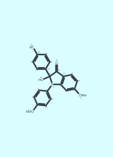 COc1ccc(N2c3cc(OC)ccc3C(=O)C2(O)c2ccc(C#N)cc2)cc1